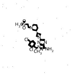 C[C@H](c1ccc(Cl)cc1Cl)n1nc(N)c2ncc(N3CC([C@H]4CCCN(CCS(C)(=O)=O)C4)C3)nc21